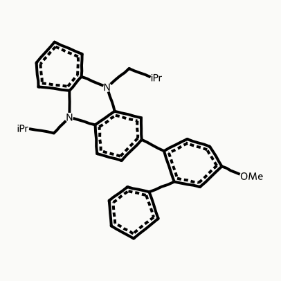 COc1ccc(-c2ccc3c(c2)N(CC(C)C)c2ccccc2N3CC(C)C)c(-c2ccccc2)c1